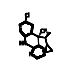 CC(C1CC1)[C@]1(C(F)(F)F)c2cc(Cl)ccc2Nc2ncccc21